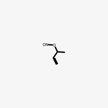 C=CC(C)ON=O